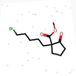 COC(=O)C1(CCCCCBr)CCCC1=O